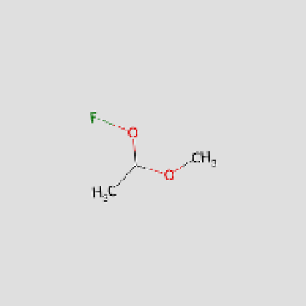 COC(C)OF